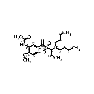 CCCCN(CCCC)C(CC)S(=O)(=O)Nc1ccc(OC)c(NC(C)=O)c1